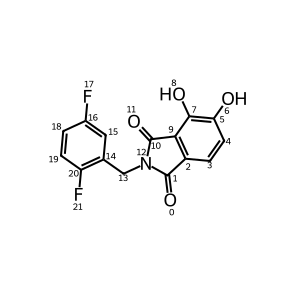 O=C1c2ccc(O)c(O)c2C(=O)N1Cc1cc(F)ccc1F